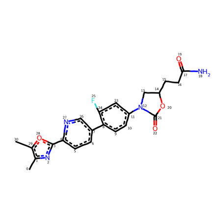 Cc1nc(-c2ccc(-c3ccc(N4CC(CCC(N)=O)OC4=O)cc3F)cn2)oc1C